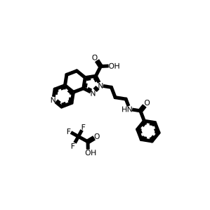 O=C(NCCCn1nc2c(c1C(=O)O)CCc1cnccc1-2)c1ccccc1.O=C(O)C(F)(F)F